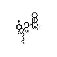 CNC[C@H](CC1CCCCC1)NC(=O)N1CCC[C@@H]([C@@](O)(CCCCOC)c2cc(F)ccc2OC)C1